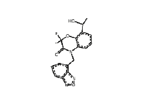 CC(O)c1cccc2c1OC(F)(F)C(=O)N2Cc1cccc2nonc12